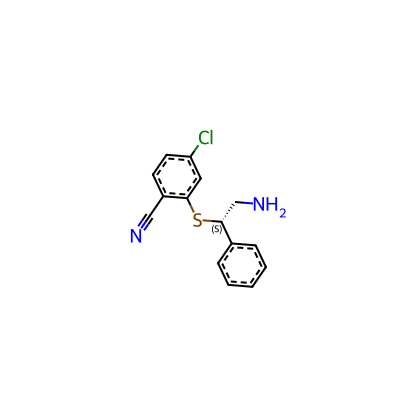 N#Cc1ccc(Cl)cc1S[C@H](CN)c1ccccc1